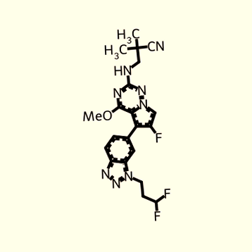 COc1nc(NCC(C)(C)C#N)nn2cc(F)c(-c3ccc4nnn(CCC(F)F)c4c3)c12